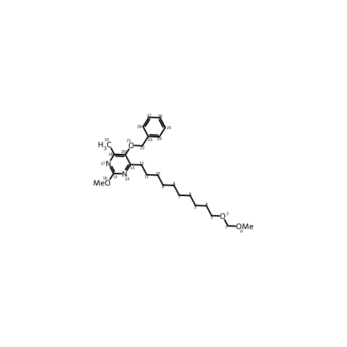 COCOCCCCCCCCCCc1nc(OC)nc(C)c1OCc1ccccc1